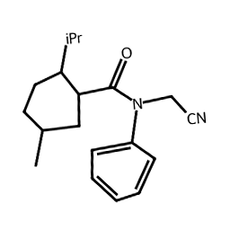 CC1CCC(C(C)C)C(C(=O)N(CC#N)c2ccccc2)C1